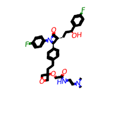 CN(C)CCNC(=O)COC1(CCc2ccc([C@@H]3[C@@H](CC[C@H](O)c4ccc(F)cc4)C(=O)N3c3ccc(F)cc3)cc2)COC1